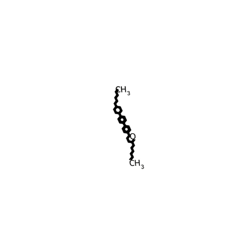 CCCCCCCC1CCC(c2ccc(-c3ccc(C4CCC(CCCCCC)CC4)cc3)cc2)OC1